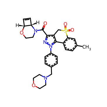 Cc1ccc2c(c1)S(=O)(=O)Cc1c(C(=O)N3CCO[C@@H]4C=C[C@@H]43)nn(-c3ccc(CN4CCOCC4)cc3)c1-2